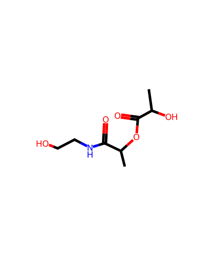 CC(O)C(=O)OC(C)C(=O)NCCO